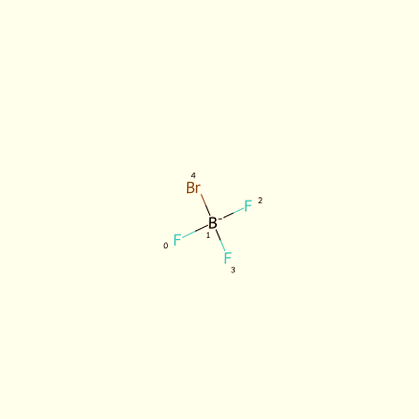 F[B-](F)(F)Br